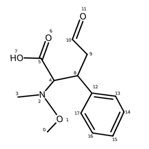 CON(C)C(C(=O)O)C(CC=O)c1ccccc1